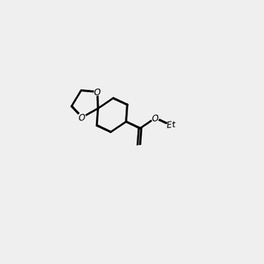 C=C(OCC)C1CCC2(CC1)OCCO2